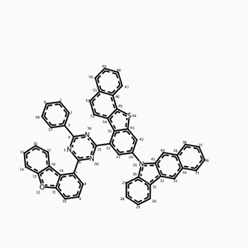 c1ccc(-c2nc(-c3cccc4oc5ccccc5c34)nc(-c3cc(-n4c5ccccc5c5cc6ccccc6cc54)cc4sc5c6ccccc6ccc5c34)n2)cc1